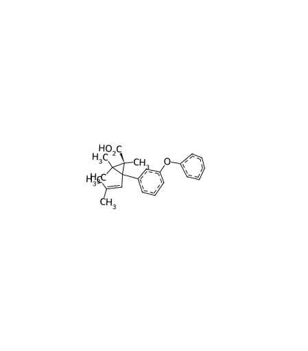 CC(C)=CC1(c2cccc(Oc3ccccc3)c2)C(C)(C)[C@@]1(C)C(=O)O